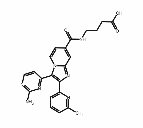 Cc1cccc(-c2nc3cc(C(=O)NCCCC(=O)O)ccn3c2-c2ccnc(N)n2)n1